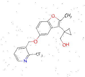 Cc1oc2ccc(OCc3cccnc3C(F)(F)F)cc2c1C1(CO)CC1